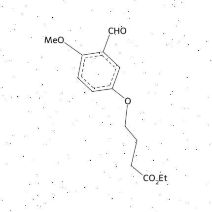 CCOC(=O)CCCOc1ccc(OC)c(C=O)c1